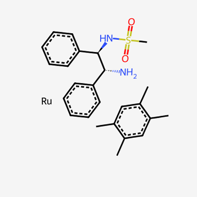 CS(=O)(=O)N[C@H](c1ccccc1)[C@H](N)c1ccccc1.Cc1cc(C)c(C)cc1C.[Ru]